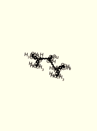 CCCCOC(=O)N(CCCCCCNC(=O)OC(c1ccc(C(=O)C(C)(C)O)cc1)c1ccc(C(=O)C(C)(C)O)cc1)C(=O)NCCCCCCNC(=O)OC(c1ccc(C(=O)C(C)(C)O)cc1)c1ccc(C(=O)C(C)(C)O)cc1